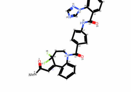 CNC(=O)/C=C1/c2ccccc2N(C(=O)c2ccc(NC(=O)c3ccccc3-n3cncn3)cc2)CCC1(F)F